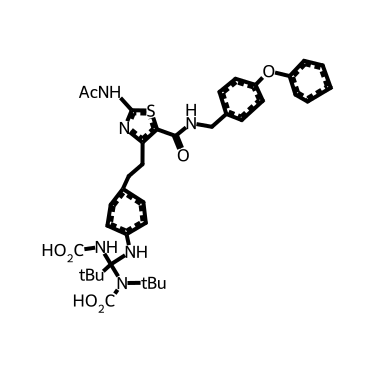 CC(=O)Nc1nc(CCc2ccc(NC(NC(=O)O)(N(C(=O)O)C(C)(C)C)C(C)(C)C)cc2)c(C(=O)NCc2ccc(Oc3ccccc3)cc2)s1